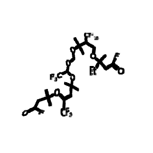 CCC(C)(CC(=O)F)OCC(C(F)(F)F)C(C)(C)OCOC(OC(C)(C)CC(OC(C)(C)CC(=O)F)C(F)(F)F)C(F)(F)F